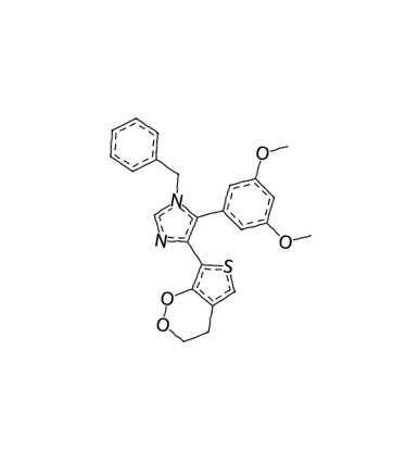 COc1cc(OC)cc(-c2c(-c3scc4c3OOCC4)ncn2Cc2ccccc2)c1